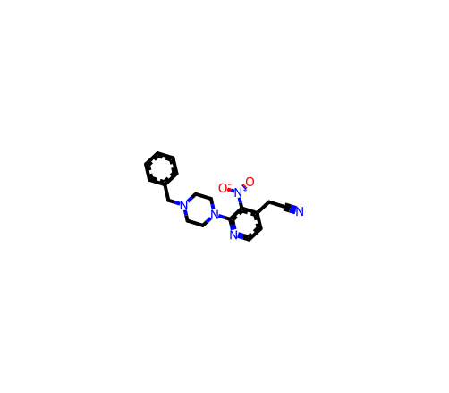 N#CCc1ccnc(N2CCN(Cc3ccccc3)CC2)c1[N+](=O)[O-]